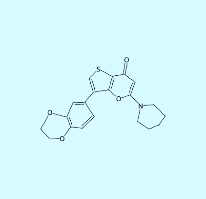 O=c1cc(N2CCCCC2)oc2c(-c3ccc4c(c3)OCCO4)csc12